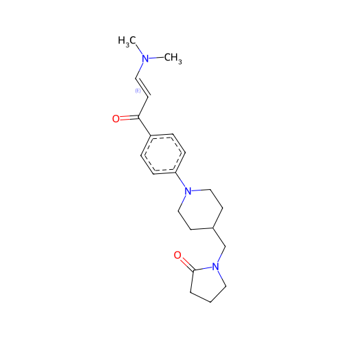 CN(C)/C=C/C(=O)c1ccc(N2CCC(CN3CCCC3=O)CC2)cc1